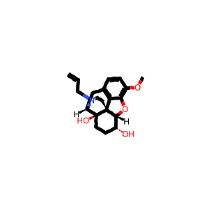 C=CCN1CC[C@@]23c4c5ccc(OC)c4O[C@@H]2[C@H](O)CC[C@]3(O)[C@@H]1C5